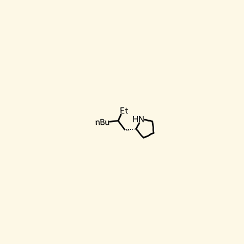 CCCCC(CC)C[C@H]1CCCN1